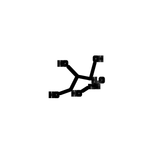 CCCCO.O.OCC(O)CO